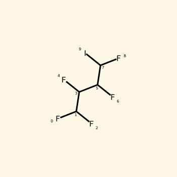 FC(F)C(F)C(F)C(F)I